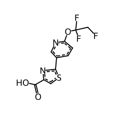 O=C(O)c1csc(-c2ccc(OC(F)(F)CF)nc2)n1